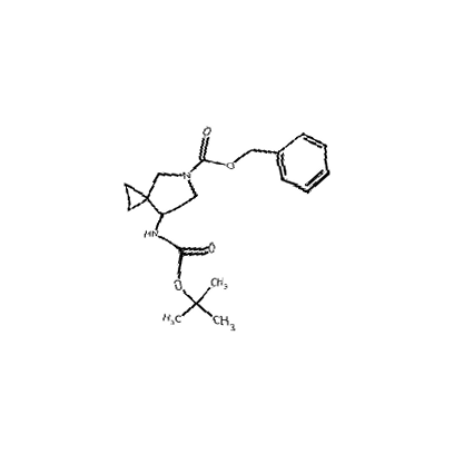 CC(C)(C)OC(=O)NC1CN(C(=O)OCc2ccccc2)CC12CC2